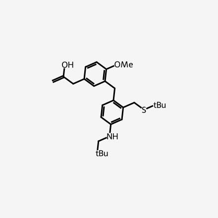 C=C(O)Cc1ccc(OC)c(Cc2ccc(NCC(C)(C)C)cc2CSC(C)(C)C)c1